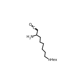 CCCCCCCCCCCCC(N)C=C=O